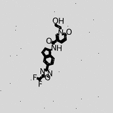 O=C(N[C@@H]1CCc2cc(-c3noc(C(F)F)n3)ccc21)c1ccc(=O)n(CCO)c1